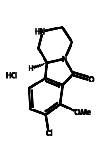 COc1c(Cl)ccc2c1C(=O)N1CCNC[C@H]21.Cl